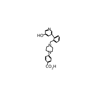 O=C(O)c1ccc(N2CCN(Cc3ccccc3-c3cncc(O)c3)CC2)cc1